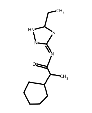 CCC1N[N]C(=NC(=O)C(C)C2CCCCC2)S1